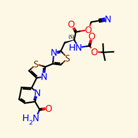 CC(C)(C)OC(=O)N[C@@H](Cc1nc(-c2nc(-c3cccc(C(N)=O)n3)cs2)cs1)C(=O)OCC#N